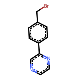 BrCc1ccc(-c2cnccn2)cc1